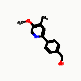 Cc1cc(-c2ccc(CO)cc2)ncc1OC(F)(F)F